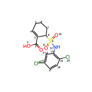 O=C(O)C1=CCCCC1S(=O)(=O)Nc1cc(Cl)ccc1Cl